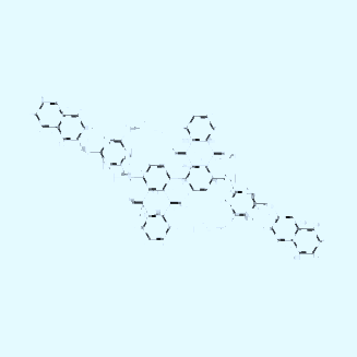 CCCCSc1nc(Nc2ccc(-c3ccc(Nc4nc(SCCCC)nc(Sc5ccc6ccccc6c5)n4)c4c3C(=O)c3ccccc3C4=O)c3c2C(=O)c2ccccc2C3=O)nc(Sc2ccc3ccccc3c2)n1